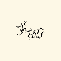 C[C@@](N)(C=O)CCC(NC(=N)N)C(=O)[C@@H]1CCCN1C(=O)C1NCCc2ccccc21